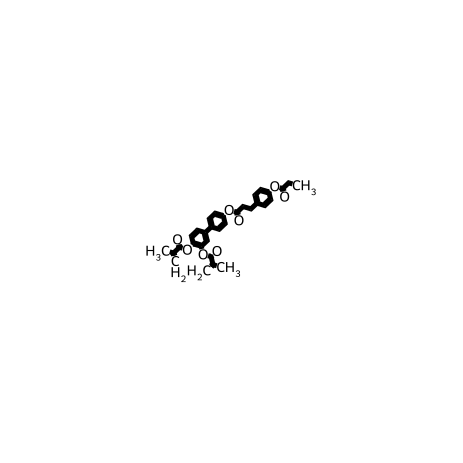 C=C(C)C(=O)Oc1ccc(-c2ccc(OC(=O)CCc3ccc(OC(=O)CC)cc3)cc2)cc1OC(=O)C(=C)C